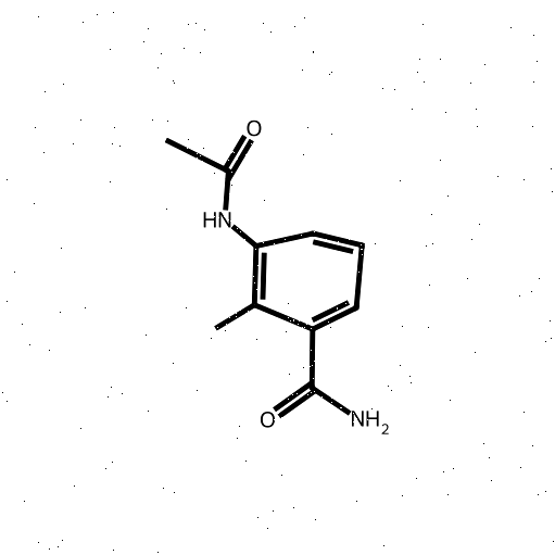 CC(=O)Nc1cccc(C(N)=O)c1C